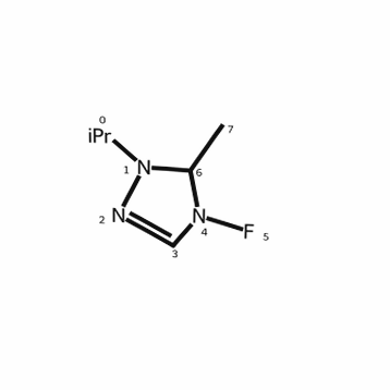 CC(C)N1N=CN(F)C1C